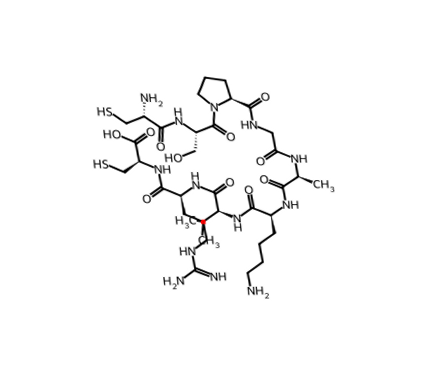 CC(C)[C@H](NC(=O)[C@H](CCCCN)NC(=O)[C@H](C)NC(=O)CNC(=O)[C@@H]1CCCN1C(=O)[C@H](CO)NC(=O)[C@@H](N)CS)C(=O)N[C@@H](CCCNC(=N)N)C(=O)N[C@@H](CS)C(=O)O